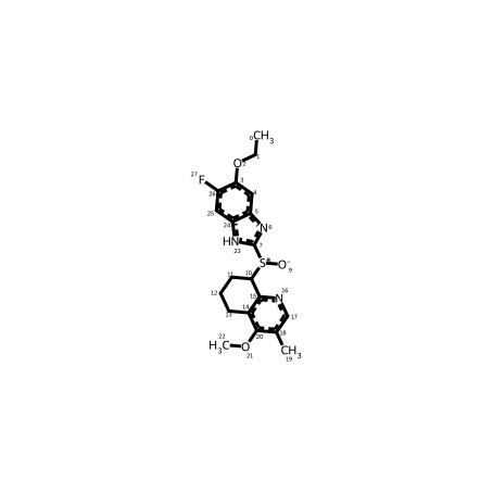 CCOc1cc2nc([S+]([O-])C3CCCc4c3ncc(C)c4OC)[nH]c2cc1F